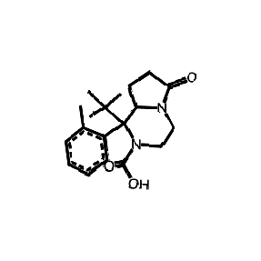 Cc1ccccc1C1(C(C)(C)C)C2CCC(=O)N2CCN1C(=O)O